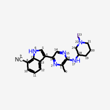 Cc1nc(-c2c[nH]c3c(C#N)cccc23)cnc1NC1CCCN(I)C1